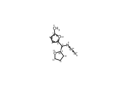 Cc1ccc(C(N=[N+]=[N-])[C@H]2CCCO2)o1